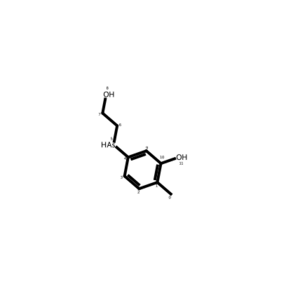 Cc1ccc([AsH]CCO)cc1O